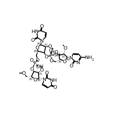 COC[C@H]1O[C@@H](n2ccc(=O)[nH]c2=O)[C@@H](OC)C1OP(=O)(O)OC[C@H]1O[C@@H](n2ccc(=O)[nH]c2=O)[C@@H](OC)C1OP(=O)(S)OC[C@H]1O[C@@H](n2ccc(N)nc2=O)[C@@H](OC)C1O